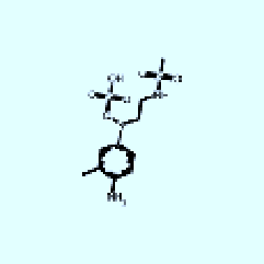 Cc1cc(N(CCNS(C)(=O)=O)OS(=O)(=O)O)ccc1N